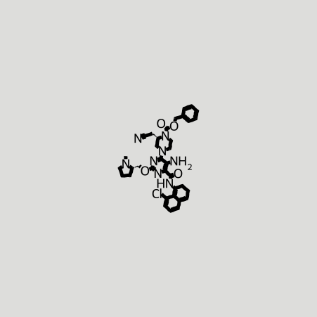 CN1CCC[C@H]1COc1nc(C(=O)NC2=c3c(Cl)cccc3=CCC2)c(N)c(N2CCN(C(=O)OCc3ccccc3)[C@@H](CC#N)C2)n1